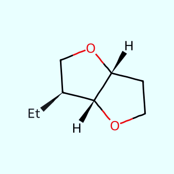 CC[C@H]1CO[C@@H]2CCO[C@H]12